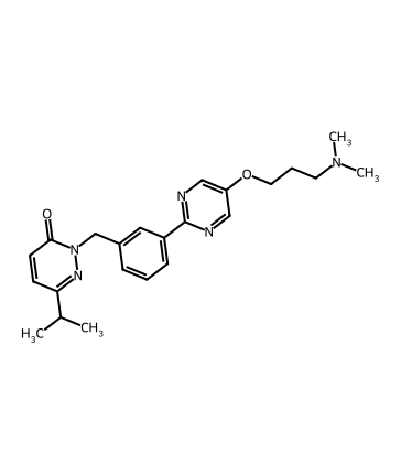 CC(C)c1ccc(=O)n(Cc2cccc(-c3ncc(OCCCN(C)C)cn3)c2)n1